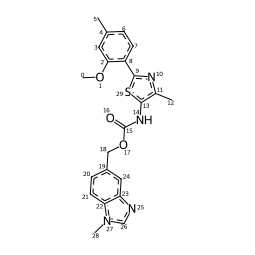 COc1cc(C)ccc1-c1nc(C)c(NC(=O)OCc2ccc3c(c2)ncn3C)s1